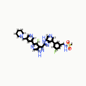 CS(=O)(=O)NCc1cc(F)cc(-c2cncc3[nH]c(-c4n[nH]c5cnc(-c6cncc(CN7CCCCC7)c6)c(F)c45)nc23)c1